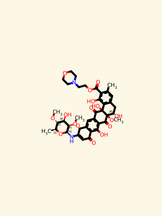 CO[C@@H]1[C@@H](O)[C@@H](OC)[C@@H](NC2=CC(=O)c3c(cc4c(c3O)C(=O)C3(OC)[C@H](O)Cc5cc(C)c(C(=O)OCCN6CCOCC6)c(O)c5C3(O)C4=O)C2=O)O[C@H]1C